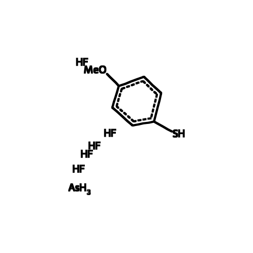 COc1ccc(S)cc1.F.F.F.F.F.[AsH3]